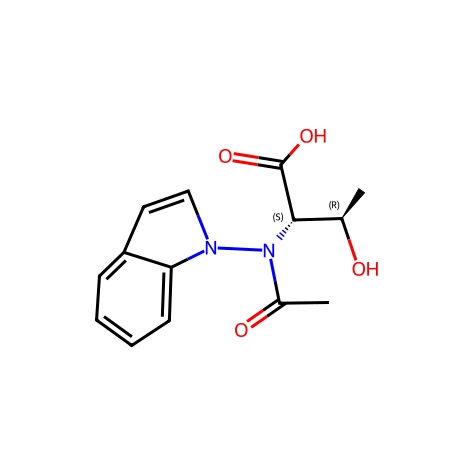 CC(=O)N([C@H](C(=O)O)[C@@H](C)O)n1ccc2ccccc21